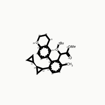 COC(=O)C(OC(C)(C)C)c1c(C)ccc(C2C[C@H]2C2CC2)c1-c1ccc2c(c1)CCCO2